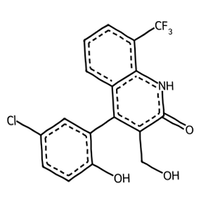 O=c1[nH]c2c(C(F)(F)F)cccc2c(-c2cc(Cl)ccc2O)c1CO